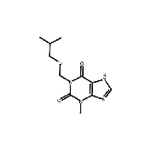 CC(C)COCn1c(=O)c2[nH]cnc2n(C)c1=O